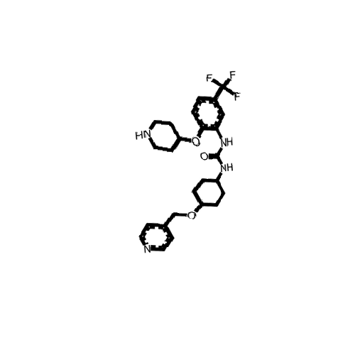 O=C(Nc1cc(C(F)(F)F)ccc1OC1CCNCC1)NC1CCC(OCc2ccncc2)CC1